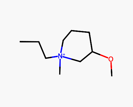 CCC[N+]1(C)CCCC(OC)C1